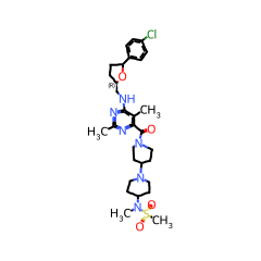 Cc1nc(NC[C@H]2CCC(c3ccc(Cl)cc3)O2)c(C)c(C(=O)N2CCC(N3CCC(N(C)S(C)(=O)=O)CC3)CC2)n1